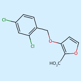 O=C(O)c1occc1OCc1ccc(Cl)cc1Cl